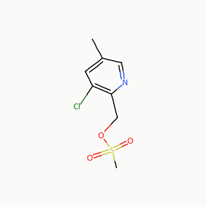 Cc1cnc(COS(C)(=O)=O)c(Cl)c1